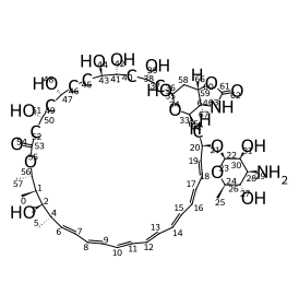 C[C@@H]1[C@H](O)[C@@H](C)/C=C/C=C/C=C/C=C/C=C/C=C/C=C/[C@H](O[C@@H]2O[C@H](C)[C@@H](O)[C@H](N)[C@@H]2O)C[C@@H]2OC(O)(C[C@@H](O)C[C@@H](O)[C@H](O)CC[C@@H](O)C[C@@H](O)CC(=O)O[C@H]1C)C[C@@H]1OC(=O)N[C@H]12